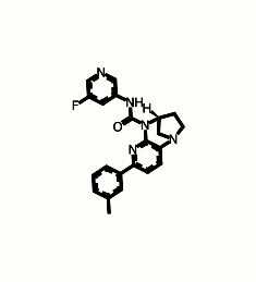 Cc1cccc(-c2ccc3c(n2)N(C(=O)Nc2cncc(F)c2)[C@@H]2CCN3C2)c1